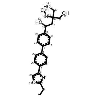 CCc1nc(-c2ccc(-c3ccc(C(O)CC(CO)(CO)NCl)cc3)cc2)co1